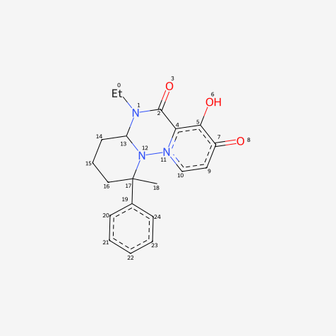 CCN1C(=O)c2c(O)c(=O)ccn2N2C1CCCC2(C)c1ccccc1